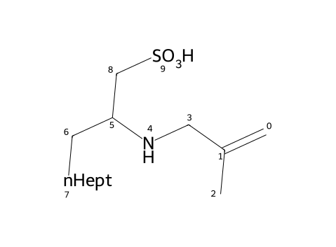 C=C(C)CNC(CCCCCCCC)CS(=O)(=O)O